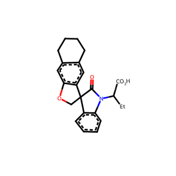 CCC(C(=O)O)N1C(=O)C2(COc3cc4c(cc32)CCCC4)c2ccccc21